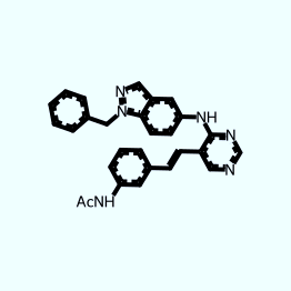 CC(=O)Nc1cccc(/C=C/c2cncnc2Nc2ccc3c(cnn3Cc3ccccc3)c2)c1